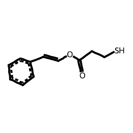 O=C(CCS)OC=Cc1ccccc1